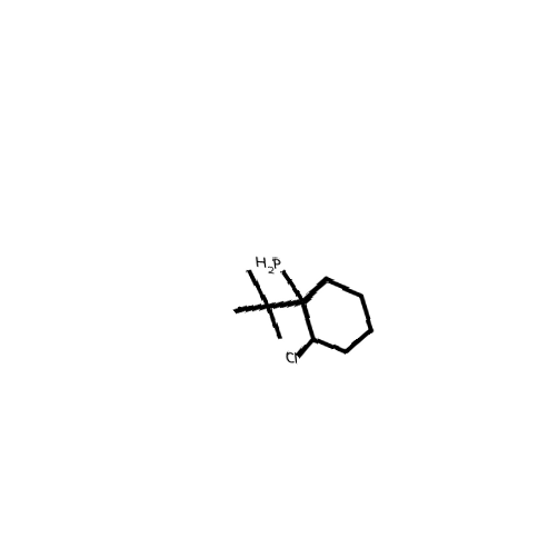 CC(C)(C)C1(P)CCCCC1Cl